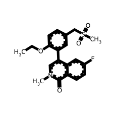 CCOc1ccc(CS(C)(=O)=O)cc1-c1cn(C)c(=O)c2ccc(F)cc12